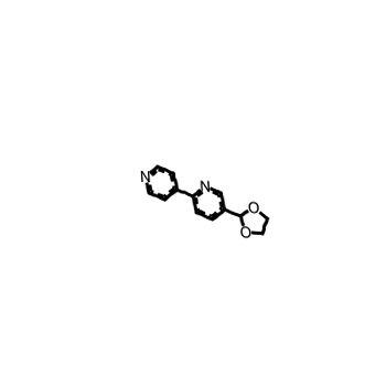 c1cc(-c2ccc(C3OCCO3)cn2)ccn1